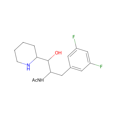 CC(=O)NC(Cc1cc(F)cc(F)c1)C(O)C1CCCCN1